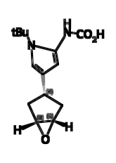 CC(C)(C)n1cc([C@@H]2C[C@@H]3O[C@@H]3C2)cc1NC(=O)O